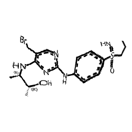 CCS(=N)(=O)c1ccc(Nc2ncc(Br)c(N[C@H](C)[C@@H](C)O)n2)cc1